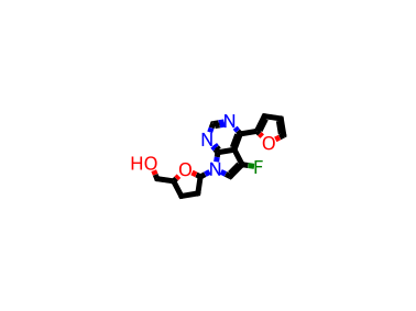 OCC1CCC(n2cc(F)c3c(-c4ccco4)ncnc32)O1